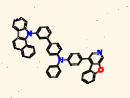 c1ccc(N(c2ccc(-c3cccc(-n4c5ccccc5c5ccc6ccccc6c54)c3)cc2)c2ccc(-c3cncc4oc5ccccc5c34)cc2)cc1